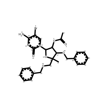 CC(=O)OC1C(n2cc(Br)c(N)nc2=O)OC(C)(COCc2ccccc2)C1OCc1ccccc1